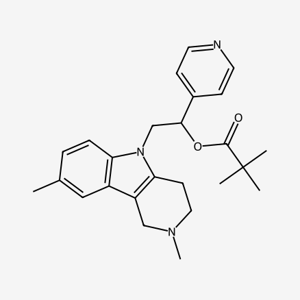 Cc1ccc2c(c1)c1c(n2CC(OC(=O)C(C)(C)C)c2ccncc2)CCN(C)C1